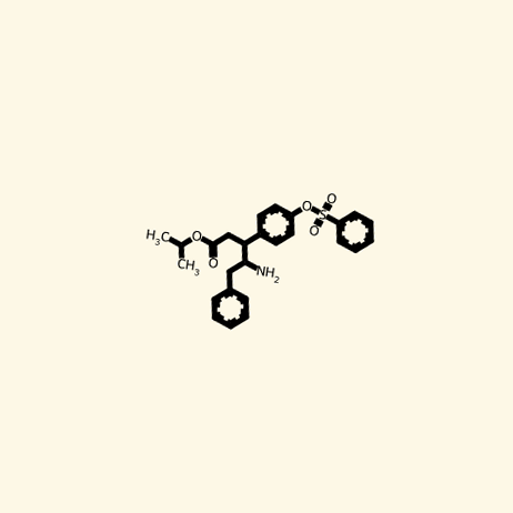 CC(C)OC(=O)CC(c1ccc(OS(=O)(=O)c2ccccc2)cc1)C(N)Cc1ccccc1